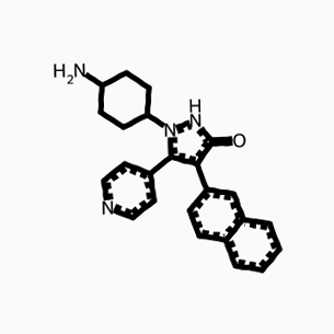 NC1CCC(n2[nH]c(=O)c(-c3ccc4ccccc4c3)c2-c2ccncc2)CC1